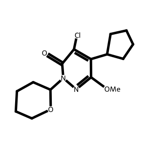 COc1nn(C2CCCCO2)c(=O)c(Cl)c1C1CCCC1